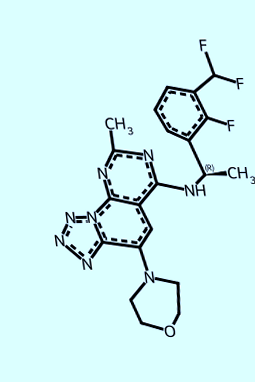 Cc1nc(N[C@H](C)c2cccc(C(F)F)c2F)c2cc(N3CCOCC3)c3nnnn3c2n1